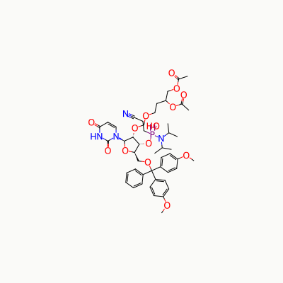 COc1ccc(C(OC[C@H]2O[C@@H](n3ccc(=O)[nH]c3=O)[C@H](OCOCCC(COC(C)=O)OC(C)=O)[C@@H]2O[PH](O)(CCC#N)N(C(C)C)C(C)C)(c2ccccc2)c2ccc(OC)cc2)cc1